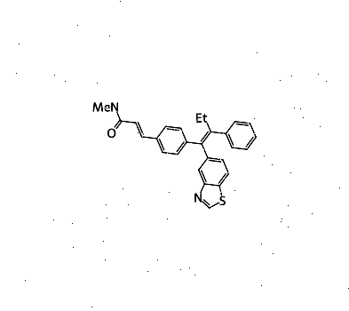 CCC(=C(c1ccc(C=CC(=O)NC)cc1)c1ccc2scnc2c1)c1ccccc1